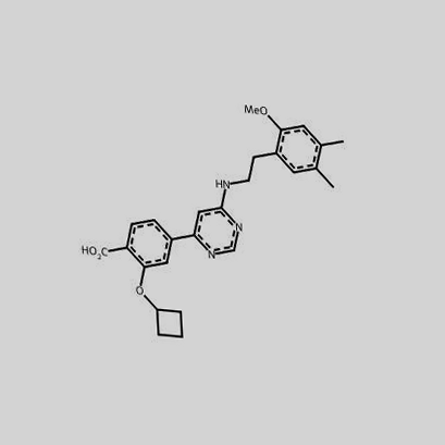 COc1cc(C)c(C)cc1CCNc1cc(-c2ccc(C(=O)O)c(OC3CCC3)c2)ncn1